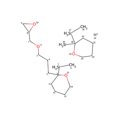 C[SiH2]C1(CCCOCC2CO2)CCCCO1.C[SiH2]C1([SiH3])CCCCO1.[H+]